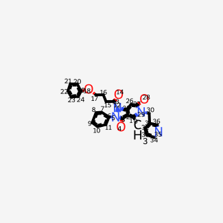 Cc1c2c(=O)n(-c3ccccc3)n(C(=O)CCCOc3ccccc3)c2cc(=O)n1Cc1cccnc1